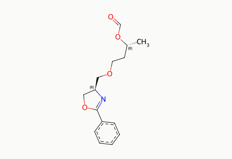 C[C@H](CCOC[C@@H]1COC(c2ccccc2)=N1)OC=O